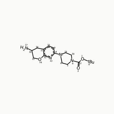 CC(C)(C)OC(=O)N1CCN(c2ccc3c(n2)OCC(N)C3)CC1